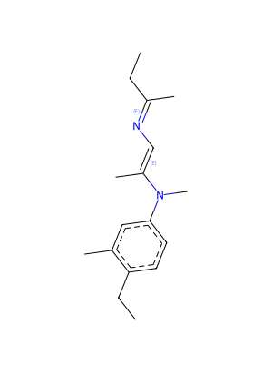 CC/C(C)=N/C=C(\C)N(C)c1ccc(CC)c(C)c1